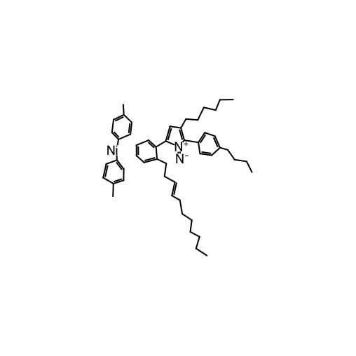 CCCCCCCC=CCCc1ccccc1C1=CC(CCCCCC)=C(c2ccc(CCCC)cc2)[N+]1=[N-].Cc1cc[c]([Ni][c]2ccc(C)cc2)cc1